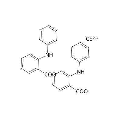 O=C([O-])c1ccccc1Nc1ccccc1.O=C([O-])c1ccccc1Nc1ccccc1.[Co+2]